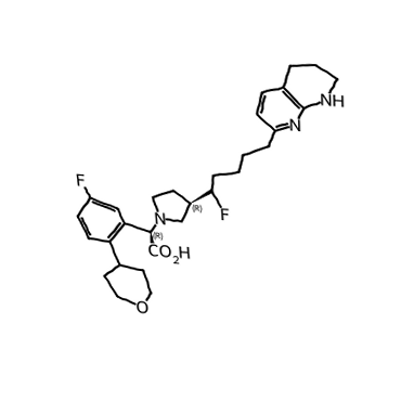 O=C(O)[C@@H](c1cc(F)ccc1C1CCOCC1)N1CC[C@@H](C(F)CCCCc2ccc3c(n2)NCCC3)C1